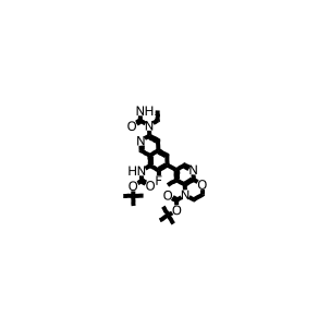 CCN(C(N)=O)c1cc2cc(-c3cnc4c(c3C)N(C(=O)OC(C)(C)C)CCO4)c(F)c(NC(=O)OC(C)(C)C)c2cn1